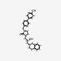 N#Cc1ncc(-c2ccc(CN3CCN(C[C@H](O)CN4CCc5ccccc5C4)C3=O)nc2)cn1